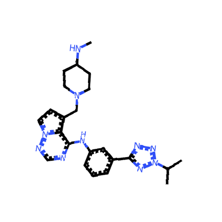 CNC1CCN(Cc2ccn3ncnc(Nc4cccc(-c5nnn(C(C)C)n5)c4)c23)CC1